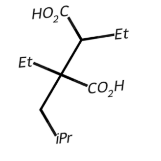 CCC(C(=O)O)C(CC)(CC(C)C)C(=O)O